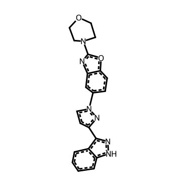 c1ccc2c(-c3ccn(-c4ccc5oc(N6CCOCC6)nc5c4)n3)n[nH]c2c1